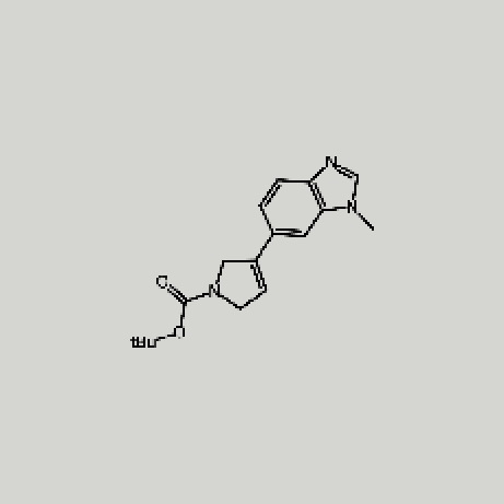 Cn1cnc2ccc(C3=CCN(C(=O)OC(C)(C)C)C3)cc21